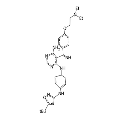 CCN(CC)CCOc1ccc(C(=N)c2c(N)ncnc2NC2C=CC(Nc3cc(C(C)(C)C)on3)=CC2)cc1